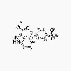 COC(=O)c1n[nH]c2cccc(Cc3ccc(S(C)(=O)=O)cc3)c12